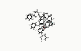 c1ccc(-c2ccc(N(c3ccccc3)c3cc4c5c6c7c(cccc7ccc6n(-c6cccc(-c7ccccc7)c6)c5c3)C43c4ccccc4-c4ccccc43)cc2)cc1